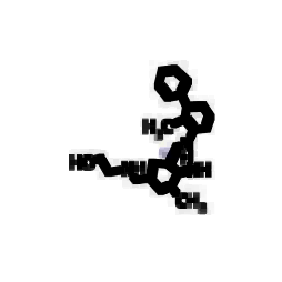 CC1=CC(CNCCO)=C/C(=C/Nc2cccc(-c3ccccc3)c2C)C1=N